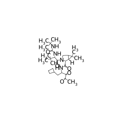 CC(=O)C(=O)C(CC1CCC1)NC(=O)[C@@H]1[C@@H]2C(CN1C(=O)[C@@H](NC(=O)NC(C)(C)C)C(C)(C)C)C2(C)C